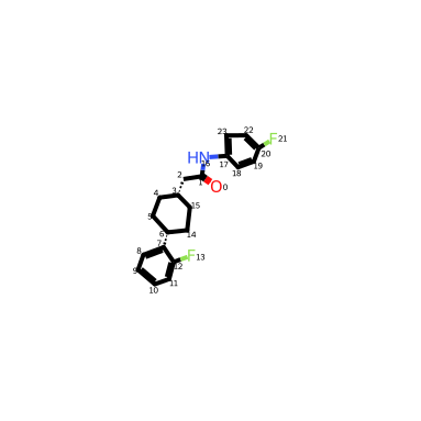 O=C(C[C@H]1CC[C@@H](c2ccccc2F)CC1)Nc1ccc(F)cc1